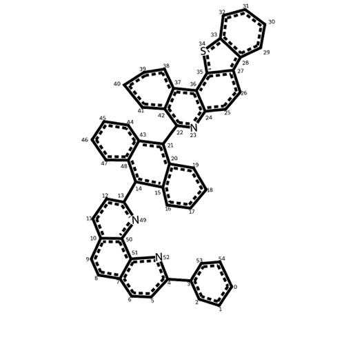 c1ccc(-c2ccc3ccc4ccc(-c5c6ccccc6c(-c6nc7ccc8c9ccccc9sc8c7c7ccccc67)c6ccccc56)nc4c3n2)cc1